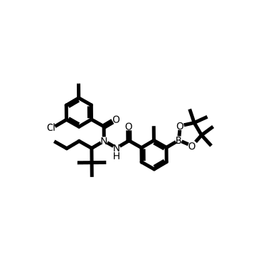 CCCC(N(NC(=O)c1cccc(B2OC(C)(C)C(C)(C)O2)c1C)C(=O)c1cc(C)cc(Cl)c1)C(C)(C)C